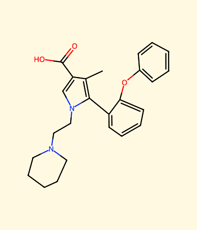 Cc1c(C(=O)O)cn(CCN2CCCCC2)c1-c1ccccc1Oc1ccccc1